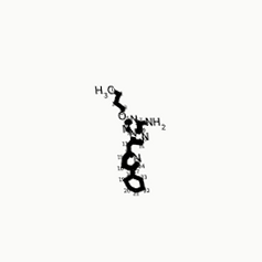 CCCCOc1nc(N)c2ncc(Cc3ccc(C4CCCCC4)cn3)n2n1